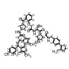 Cc1ncsc1-c1ccc(CNC(=O)[C@@H]2C[C@@H](O)CN2C(=O)[C@@H](NC(=O)COc2ccccc2C(=O)N2CC[C@H](NC(=O)C[C@@H]3N=C(c4ccc(Cl)cc4)c4c(sc(C)c4C)-n4c(C)nnc43)C2)C(C)(C)C)cc1